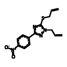 C=CCSc1nc(-c2ccc([N+](=O)[O-])cc2)nn1CC=C